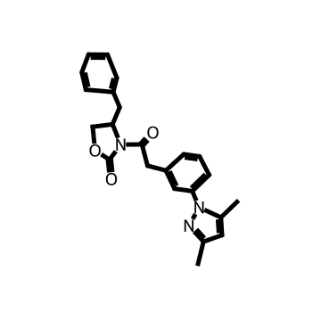 Cc1cc(C)n(-c2cccc(CC(=O)N3C(=O)OCC3Cc3ccccc3)c2)n1